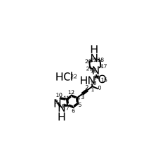 CC(C#Cc1ccc2[nH]ncc2c1)NC(=O)N1CCNCC1.Cl